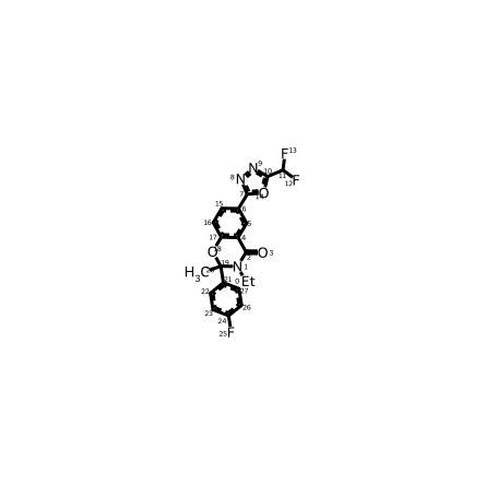 CCN1C(=O)c2cc(-c3nnc(C(F)F)o3)ccc2OC1(C)c1ccc(F)cc1